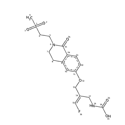 CS(=O)(=O)CCN1CCc2cc(OC/C(=C/F)CNC(=O)O)ccc2C1=O